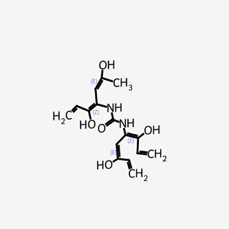 C=C/C(O)=C(\C=C(/C)O)NC(=O)NC(/C=C(/O)C=C)=C(\O)C=C